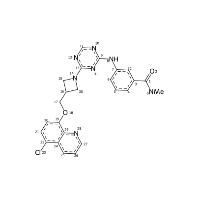 CNC(=O)c1cccc(Nc2ncnc(N3CC(COc4ccc(Cl)c5cccnc45)C3)n2)c1